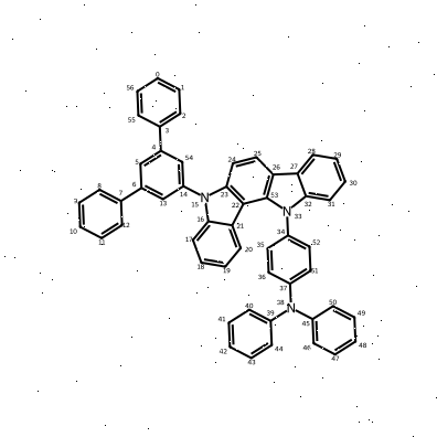 c1ccc(-c2cc(-c3ccccc3)cc(-n3c4ccccc4c4c3ccc3c5ccccc5n(-c5ccc(N(c6ccccc6)c6ccccc6)cc5)c34)c2)cc1